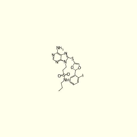 CCCNS(=O)(=O)CCn1c(SC2=COC(c3ccccc3I)O2)nc2c(N)ncnc21